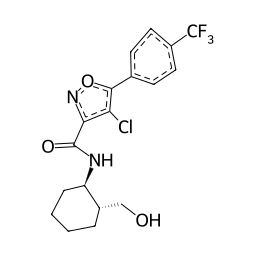 O=C(N[C@@H]1CCCC[C@H]1CO)c1noc(-c2ccc(C(F)(F)F)cc2)c1Cl